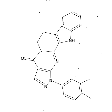 Cc1ccc(-n2ncc3c(=O)n4c(nc32)-c2[nH]c3ccccc3c2CC4)cc1C